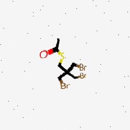 CC(=O)SCC(CBr)(CBr)CBr